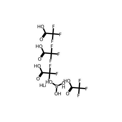 O=C(O)C(F)(F)F.O=C(O)C(F)(F)F.O=C(O)C(F)(F)F.O=C(O)C(F)(F)F.OB(O)O.[LiH]